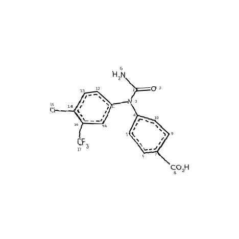 NC(=O)N(c1ccc(C(=O)O)cc1)c1ccc(Cl)c(C(F)(F)F)c1